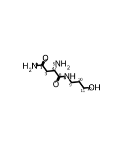 NC(=O)C[C@H](N)C(=O)NCCCO